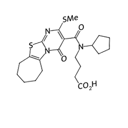 CSc1nc2sc3c(n2c(=O)c1C(=O)N(CCCC(=O)O)C1CCCC1)CCCCC3